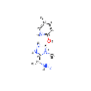 CCn1c(Oc2ccc(C)cn2)nnc1[C@@H](C)N